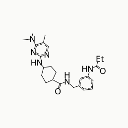 CCC(=O)Nc1cccc(CNC(=O)C2CCC(Nc3ncc(C)c(N(C)C)n3)CC2)c1